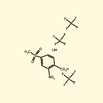 CS(=O)(=O)c1ccc(C(=O)O)c([N+](=O)[O-])c1.F[B-](F)(F)F.F[B-](F)(F)F.F[B-](F)(F)F.[LiH]